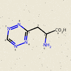 NC(Cc1nncnn1)C(=O)O